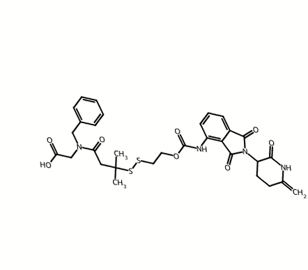 C=C1CCC(N2C(=O)c3cccc(NC(=O)OCCSSC(C)(C)CC(=O)N(CC(=O)O)Cc4ccccc4)c3C2=O)C(=O)N1